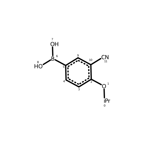 CC(C)Oc1ccc(B(O)O)cc1C#N